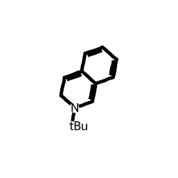 CC(C)(C)N1C=c2ccccc2=CC1